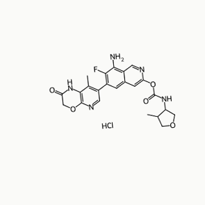 Cc1c(-c2cc3cc(OC(=O)NC4COCC4C)ncc3c(N)c2F)cnc2c1NC(=O)CO2.Cl